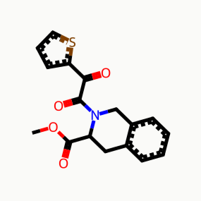 COC(=O)C1Cc2ccccc2CN1C(=O)C(=O)c1cccs1